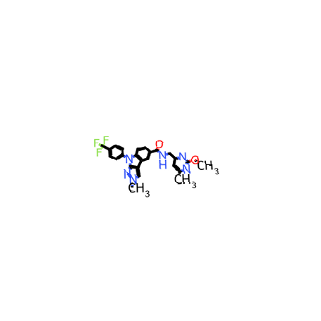 COc1nc(C)cc(CNC(=O)c2ccc3c(c2)c2cn(C)nc2n3-c2ccc(C(F)(F)F)cc2)n1